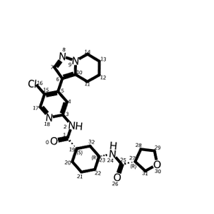 O=C(Nc1cc(-c2cnn3c2CCCC3)c(Cl)cn1)[C@H]1CCC[C@@H](NC(=O)[C@@H]2CCOC2)C1